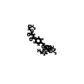 CCOC(=O)CC(=O)c1ccc(CO[Si](C)(C)C(C)(C)C)cc1